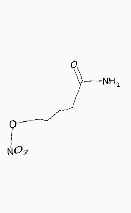 NC(=O)CCCO[N+](=O)[O-]